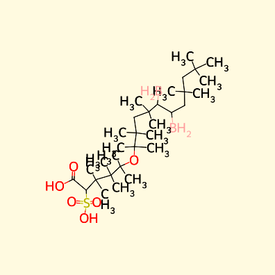 BC(CC(C)(C)CC(C)(C)C)C(B)C(C)(C)CC(C)(C)C(C)(C)OC(C)(C)C(C)(C)C(C)(C)C(C(=O)O)S(=O)(=O)O